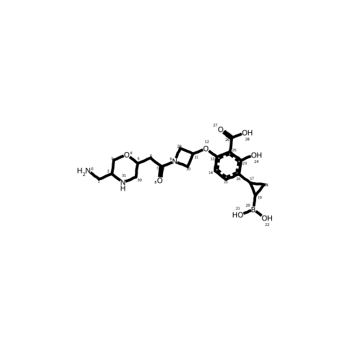 NCC1COC(CC(=O)N2CC(Oc3ccc(C4CC4B(O)O)c(O)c3C(=O)O)C2)CN1